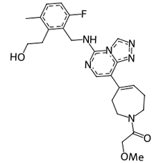 COCC(=O)N1CCC=C(c2cnc(NCc3c(F)ccc(C)c3CCO)n3cnnc23)CC1